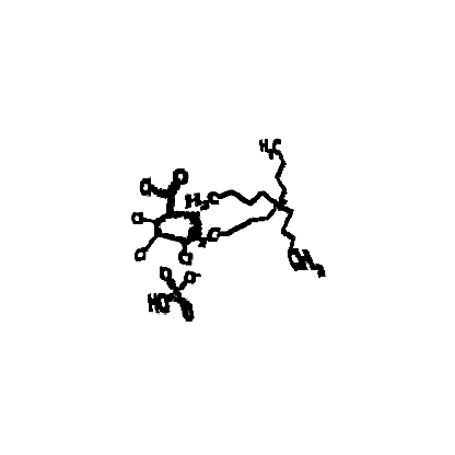 CCCC[N+](CCCC)(CCCC)CCCC.O=C(Cl)c1ccc(Cl)c(Cl)c1Cl.O=S(=O)([O-])O